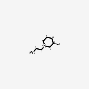 CC(C)CCN1CCC[C@@H](C)C1